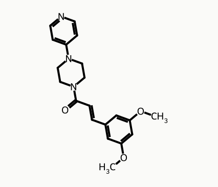 COc1cc(C=CC(=O)N2CCN(c3ccncc3)CC2)cc(OC)c1